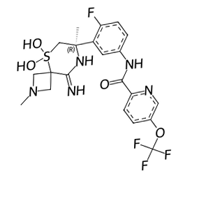 CN1CC2(C1)C(=N)N[C@](C)(c1cc(NC(=O)c3ccc(OC(F)(F)F)cn3)ccc1F)CS2(O)O